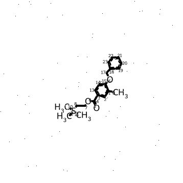 Cc1cc(C(=O)OCCS(C)(C)C)ccc1OCc1ccccc1